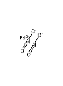 [O]=[Al][O-].[O]=[Al][O-].[Pd+2]